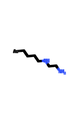 CC(=O)CCCCNCCN